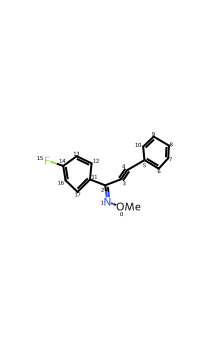 CON=C(C#Cc1ccccc1)c1ccc(F)cc1